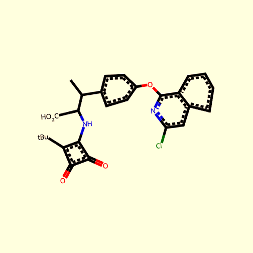 CC(c1ccc(Oc2nc(Cl)cc3ccccc23)cc1)C(Nc1c(C(C)(C)C)c(=O)c1=O)C(=O)O